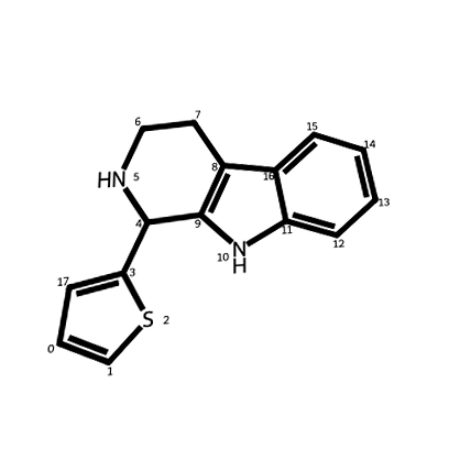 c1csc(C2NCCc3c2[nH]c2ccccc32)c1